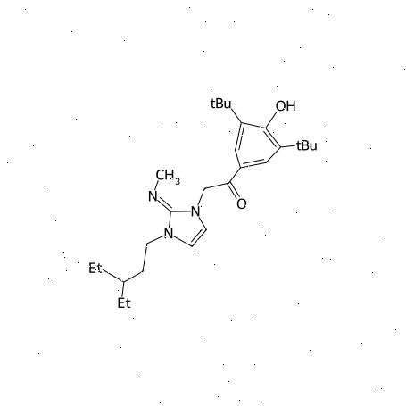 CCC(CC)CCn1ccn(CC(=O)c2cc(C(C)(C)C)c(O)c(C(C)(C)C)c2)/c1=N\C